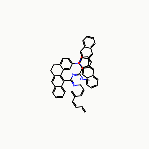 C=C/C=C\C(=C)/C=C\C/N=C(\N=C(/NC)c1ccccc1)c1c2c(cc3ccccc13)CCc1ccc(-n3c4cc5ccccc5cc4c4cc5ccccc5cc43)cc1-2